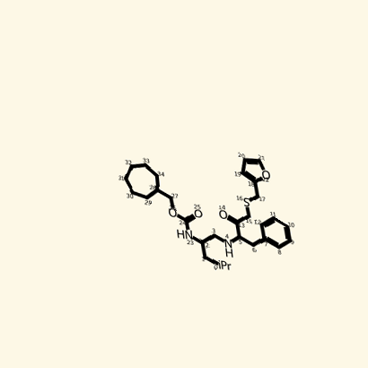 CC(C)CC(CNC(Cc1ccccc1)C(=O)CSCc1ccco1)NC(=O)OCC1CCCCCC1